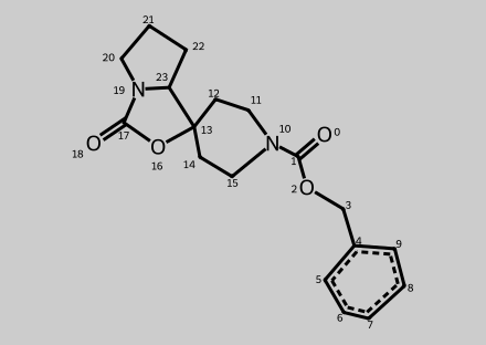 O=C(OCc1ccccc1)N1CCC2(CC1)OC(=O)N1CCCC12